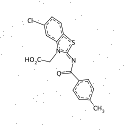 Cc1ccc(C(=O)N=c2sc3ccc(Cl)cc3n2CC(=O)O)cc1